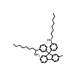 CCCCCCCCNc1cccc(C2(c3cccc(C(N)CCCCCCC)c3)c3ccccc3-c3ccc(C)cc32)c1